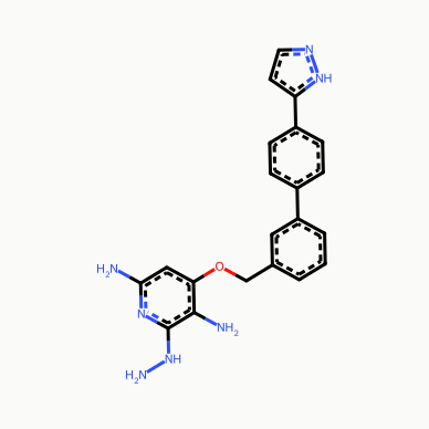 NNc1nc(N)cc(OCc2cccc(-c3ccc(-c4ccn[nH]4)cc3)c2)c1N